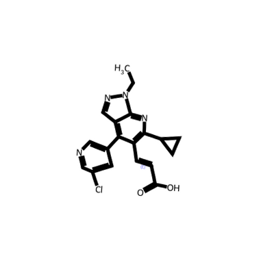 CCn1ncc2c(-c3cncc(Cl)c3)c(/C=C/C(=O)O)c(C3CC3)nc21